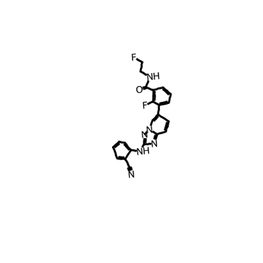 N#Cc1ccccc1Nc1nc2ccc(-c3cccc(C(=O)NCCF)c3F)cn2n1